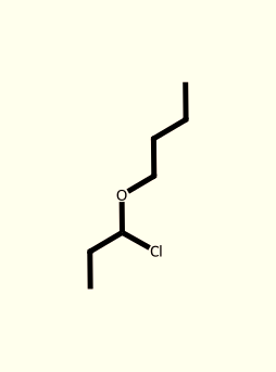 CCCCOC(Cl)CC